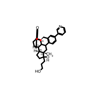 C[C@]12CC3c4ccc(-c5cccnc5)cc4C[C@]45CCC(=O)C=C4CC[C@H](C35)[C@H]1CCC2(O)CCCO